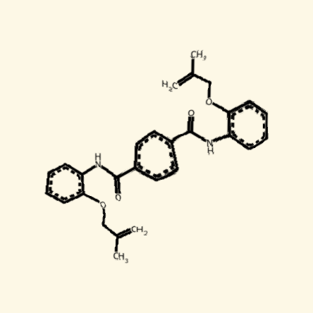 C=C(C)COc1ccccc1NC(=O)c1ccc(C(=O)Nc2ccccc2OCC(=C)C)cc1